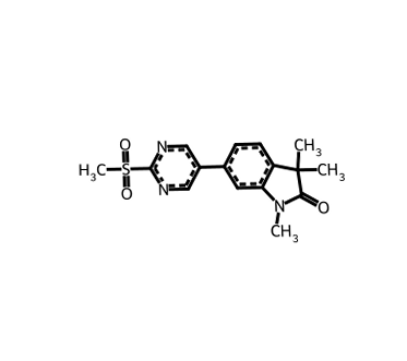 CN1C(=O)C(C)(C)c2ccc(-c3cnc(S(C)(=O)=O)nc3)cc21